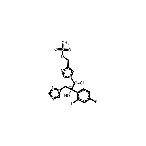 C[C@@H](n1cc(COS(C)(=O)=O)nn1)[C@](O)(Cn1cncn1)c1ccc(F)cc1F